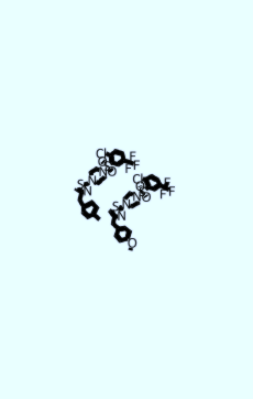 COc1ccc(Cc2csc(N3CCN(S(=O)(=O)c4cc(C(F)(F)F)ccc4Cl)CC3)n2)cc1.Cc1ccc(Cc2csc(N3CCN(S(=O)(=O)c4cc(C(F)(F)F)ccc4Cl)CC3)n2)cc1